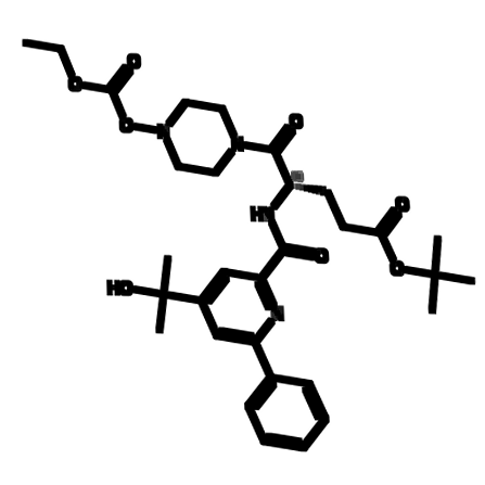 CCOC(=O)ON1CCN(C(=O)[C@H](CCC(=O)OC(C)(C)C)NC(=O)c2cc(C(C)(C)O)cc(-c3ccccc3)n2)CC1